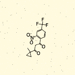 CC1(C(=O)CC(=O)c2ccc(C(F)(F)F)cc2[N+](=O)[O-])CC1